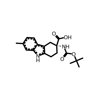 Cc1ccc2c3c([nH]c2c1)CC[C@](NC(=O)OC(C)(C)C)(C(=O)O)C3